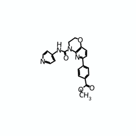 COC(=O)c1ccc(-c2ccc3c(n2)N(C(=O)Nc2ccncc2)CCO3)cc1